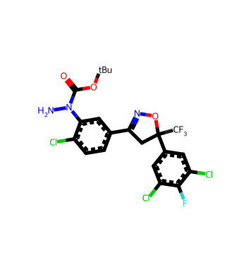 CC(C)(C)OC(=O)N(N)c1cc(C2=NOC(c3cc(Cl)c(F)c(Cl)c3)(C(F)(F)F)C2)ccc1Cl